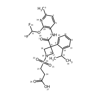 Cc1ccc(NC(=O)C2(c3ccccc3C(C)C)CN(S(=O)(=O)CCC(=O)O)C2)c(OC(F)F)n1